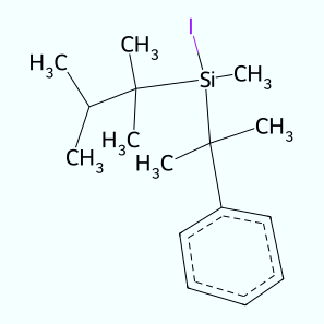 CC(C)C(C)(C)[Si](C)(I)C(C)(C)c1ccccc1